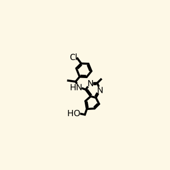 Cc1nc(NC(C)c2cccc(Cl)c2)c2cc(CO)ccc2n1